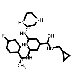 C[C@H](NC1CC(C(O)NCC2CC2)CC(N[C@H]2CNCCN2)N1)C1CCC(F)CC1